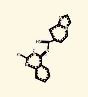 N=C(/N=c1\[nH]c(Cl)nc2ccccc12)c1ccn2ccnc2c1